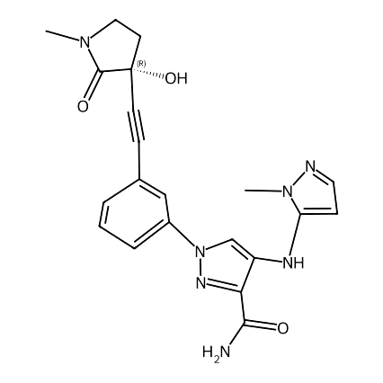 CN1CC[C@@](O)(C#Cc2cccc(-n3cc(Nc4ccnn4C)c(C(N)=O)n3)c2)C1=O